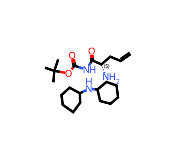 C1CCC(NC2CCCCC2)CC1.C=CC[C@H](N)C(=O)NC(=O)OC(C)(C)C